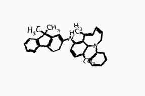 C/C1=C\C=C/CN(C2=CC=CCC2)C2C1=C(NC1=CC3=C(CC1)C1=C(C=CCC1)C3(C)C)C=CC2C